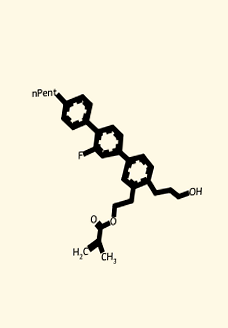 C=C(C)C(=O)OCCc1cc(-c2ccc(-c3ccc(CCCCC)cc3)c(F)c2)ccc1CCCO